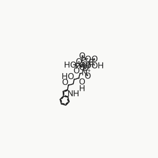 O=C(CC(O)C(O)C(OP(=O)(O)OP(=O)(O)OP(=O)(O)O)[N+](=O)[O-])c1cc2ccccc2[nH]1